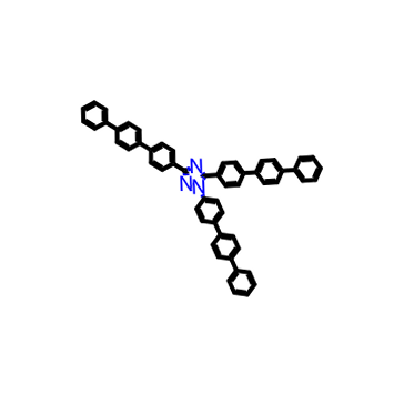 c1ccc(-c2ccc(-c3ccc(-c4nc(-c5ccc(-c6ccc(-c7ccccc7)cc6)cc5)n(-c5ccc(-c6ccc(-c7ccccc7)cc6)cc5)n4)cc3)cc2)cc1